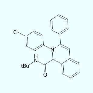 CC(C)(C)NC(=O)C1c2ccccc2C=C(c2ccccc2)N1c1ccc(Cl)cc1